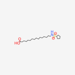 O=C(O)CCCCCCCCCCCCCCCNS(=O)(=O)C1CCCC1